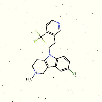 CN1CCc2c(c3cc(Cl)ccc3n2CCc2cnccc2C(F)(F)F)C1